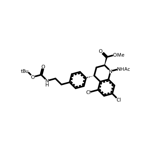 COC(=O)[C@@H]1C[C@@H](c2ccc(CCNC(=O)OC(C)(C)C)cc2)c2c(Cl)cc(Cl)cc2N1NC(C)=O